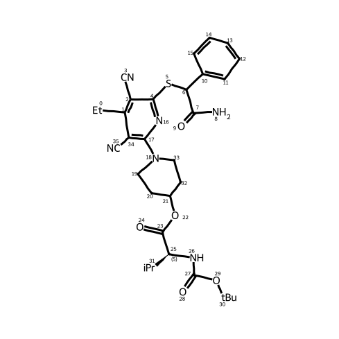 CCc1c(C#N)c(SC(C(N)=O)c2ccccc2)nc(N2CCC(OC(=O)[C@@H](NC(=O)OC(C)(C)C)C(C)C)CC2)c1C#N